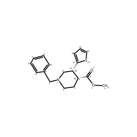 COC(=O)[C@@H]1CCN(Cc2ccccc2)C[C@@H]1c1cccs1